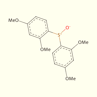 COc1ccc([S+]([O-])c2ccc(OC)cc2OC)c(OC)c1